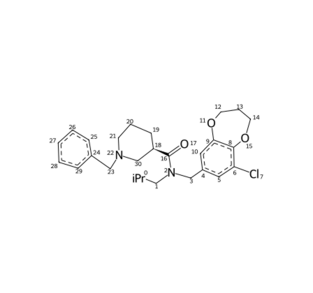 CC(C)CN(Cc1cc(Cl)c2c(c1)OCCCO2)C(=O)[C@@H]1CCCN(Cc2ccccc2)C1